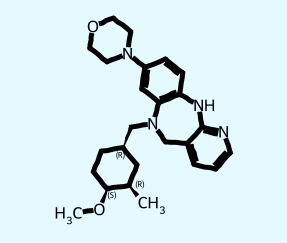 CO[C@H]1CC[C@@H](CN2Cc3cccnc3Nc3ccc(N4CCOCC4)cc32)C[C@H]1C